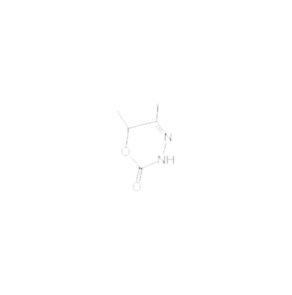 CC1=NNC(=O)OC1C